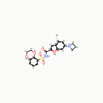 O=C(NS(=O)(=O)c1cccc2c1OCCO2)c1cc2c(F)cc(N3CCC3)cc2o1